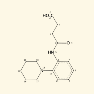 O=C(O)CCC(=O)Nc1ccccc1N1CCCCC1